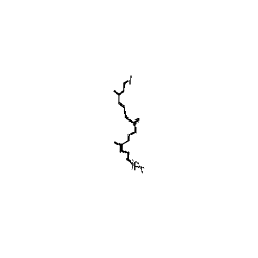 CC(C)CCCC(C)CCCC(C)CCCC(C)CCI